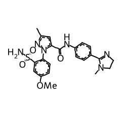 COc1ccc(-n2nc(C)cc2C(=O)Nc2ccc(C3=NCCN3C)cc2)c(S(N)(=O)=O)c1